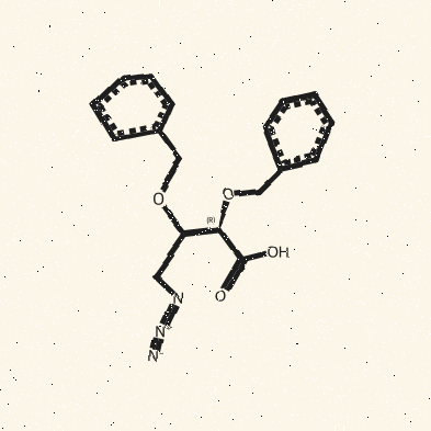 [N-]=[N+]=NCC(OCc1ccccc1)[C@@H](OCc1ccccc1)C(=O)O